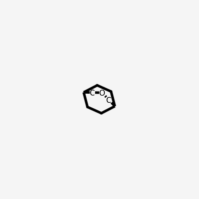 C1CC2CCC1COC2